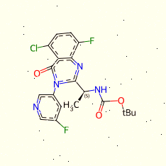 C[C@H](NC(=O)OC(C)(C)C)c1nc2c(F)ccc(Cl)c2c(=O)n1-c1cncc(F)c1